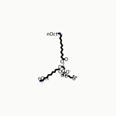 CCCCCCCC/C=C\CCCCCCCCCC(=O)OC[C@H](COP(=O)([O-])OCC[N+](C)(C)C)OC(=O)CCCCCCC/C=C\CCCCCCCC